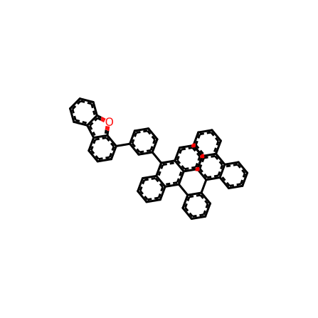 c1cc(-c2c3ccccc3c(-c3ccccc3-c3cc4ccccc4c4ccccc34)c3ccccc23)cc(-c2cccc3c2oc2ccccc23)c1